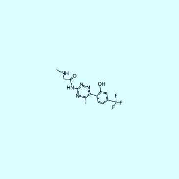 CNCC(=O)Nc1nnc(-c2ccc(C(F)(F)F)cc2O)c(C)n1